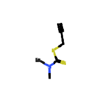 C#CCSC(=S)N(C)CC